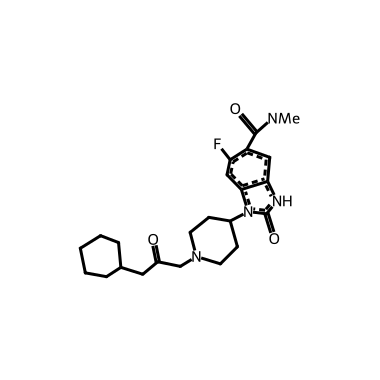 CNC(=O)c1cc2[nH]c(=O)n(C3CCN(CC(=O)CC4CCCCC4)CC3)c2cc1F